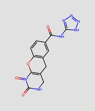 O=C(Nc1nnn[nH]1)c1ccc2c(c1)CC1=C(O2)[N+](=O)C(=O)NC1